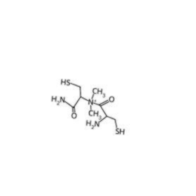 C[N+](C)(C(=O)C(N)CS)C(CS)C(N)=O